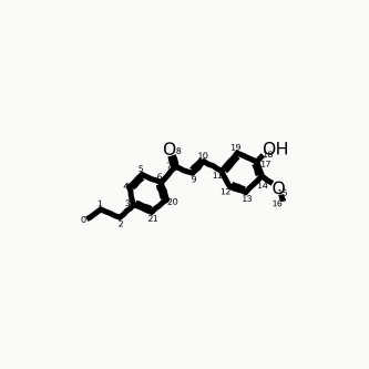 CCCc1ccc(C(=O)/C=C/c2ccc(OC)c(O)c2)cc1